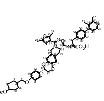 COC1CCC(COc2ccc([C@H]3COc4cc5c(cc4O3)CN(C(=O)c3nc(C)oc3C)[C@H](C(=O)N[C@@H](Cc3ccc(-c4ccnc(C)c4C)cc3)C(=O)O)C5)cc2)CC1